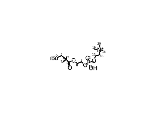 CCC(C)CC(C)(C)C(=O)OCCOP(=O)(O)OCC[N+](C)(C)C